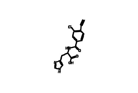 [C]#Cc1ccc(C(=O)NC(Cc2c[nH]cn2)C(=O)O)cc1Cl